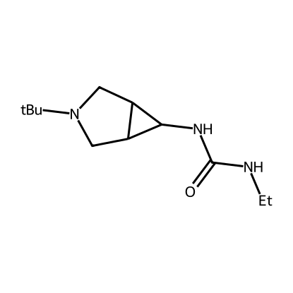 CCNC(=O)NC1C2CN(C(C)(C)C)CC21